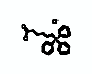 O=C(Cl)CCCCC[P+](c1ccccc1)(c1ccccc1)c1ccccc1.[Cl-]